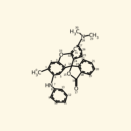 Cc1cc2c(cc1Nc1ccccc1)C1(OC(=O)c3ccccc31)c1ccc(N(C)C)cc1O2